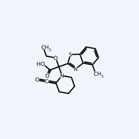 CCOC(C(=O)O)(c1nc2c(C)cccc2s1)N1CCCCC1=C=O